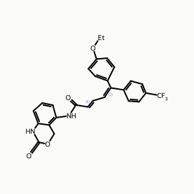 CCOc1ccc(/C(=C\C=C\C(=O)Nc2cccc3c2COC(=O)N3)c2ccc(C(F)(F)F)cc2)cc1